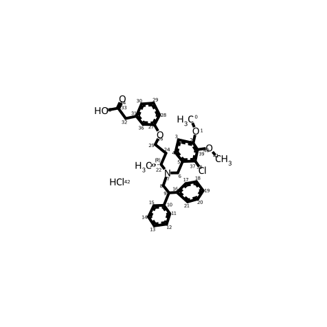 COc1ccc(CN(CC(c2ccccc2)c2ccccc2)[C@H](C)CCOc2cccc(CC(=O)O)c2)c(Cl)c1OC.Cl